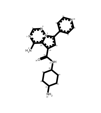 Nc1ncnn2c(-c3ccncc3)cc(C(=O)NC3CCC(N)CC3)c12